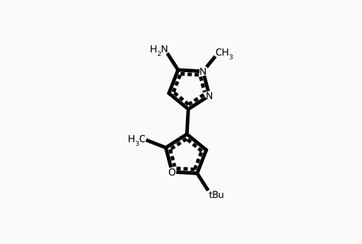 Cc1oc(C(C)(C)C)cc1-c1cc(N)n(C)n1